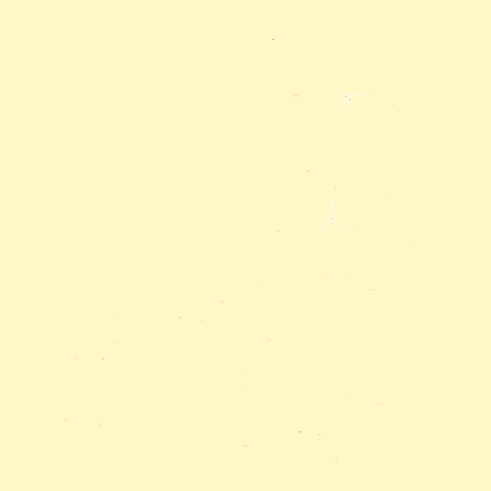 CC1(C)c2cc(N(c3ccccc3)c3ccccc3)ccc2-n2c3ccc(-c4cc(-c5cccc(-c6ccccc6)c5)cc(-c5cccc(-c6ccccc6)c5)c4)cc3c3cccc1c32